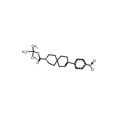 CC(C)(C)OC(=O)N1CCC2(CC=C(c3ccc([N+](=O)[O-])cc3)CC2)CC1